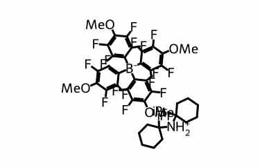 CC(C)C1([NH2+]C2(C(C)C)CCCCC2)CCCCC1.COc1c(F)c(F)c([B-](c2c(F)c(F)c(OC)c(F)c2F)(c2c(F)c(F)c(OC)c(F)c2F)c2c(F)c(F)c(OC)c(F)c2F)c(F)c1F